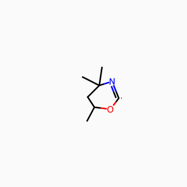 CC1CC(C)(C)N=[C]O1